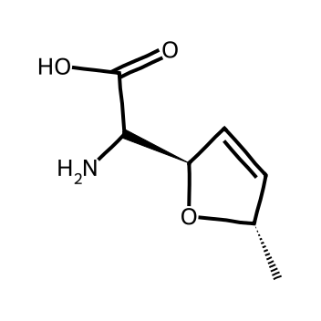 C[C@H]1C=C[C@H](C(N)C(=O)O)O1